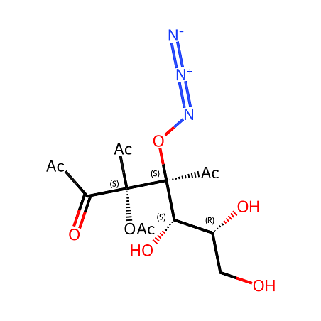 CC(=O)O[C@@](C(C)=O)(C(=O)C(C)=O)[C@](ON=[N+]=[N-])(C(C)=O)[C@@H](O)[C@H](O)CO